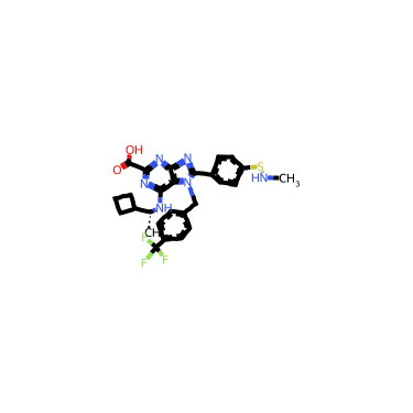 CNSc1ccc(-c2nc3nc(C(=O)O)nc(N[C@H](C)C4CCC4)c3n2Cc2ccc(C(F)(F)F)cc2)cc1